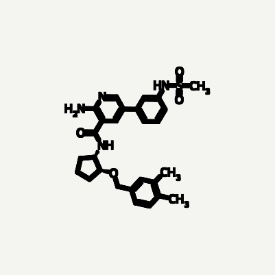 Cc1ccc(CO[C@H]2CCC[C@@H]2NC(=O)c2cc(-c3cccc(NS(C)(=O)=O)c3)cnc2N)cc1C